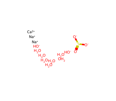 O.O.O.O.O.O.O.O=S([O-])[O-].[Ca+2].[Na+].[Na+].[OH-].[OH-]